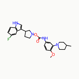 COc1ccc(NC(=O)ON2CCC(c3c[nH]c4ccc(F)cc34)C2)cc1N1CCC(C)CC1